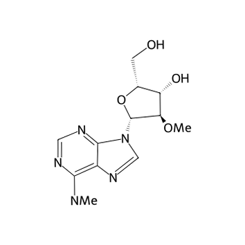 CNc1ncnc2c1ncn2[C@@H]1O[C@H](CO)[C@H](O)[C@H]1OC